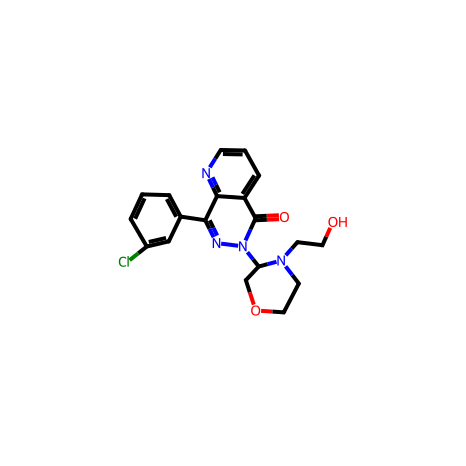 O=c1c2cccnc2c(-c2cccc(Cl)c2)nn1C1COCCN1CCO